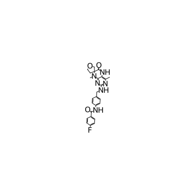 Cc1nc(NCc2ccc(NC(=O)c3ccc(F)cc3)cc2)nc2c1NC(=O)C1(CCOC1)N2C